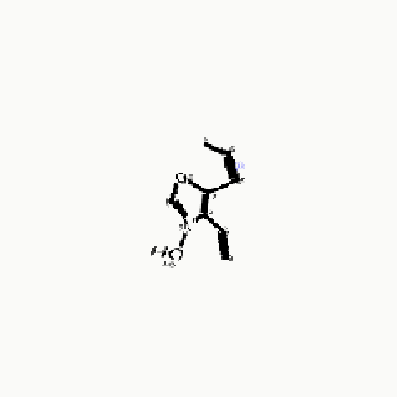 C=Cc1c(/C=C\C)oc[n+]1O